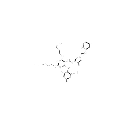 COCCCNc1nc(NCCCOC)c(N=Nc2nn(-c3nc4ccccc4s3)cc2C#N)c(N(C)c2c(C)cc(C)cc2C)n1